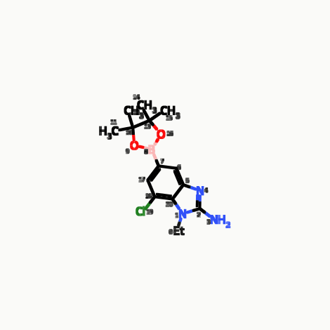 CCn1c(N)nc2cc(B3OC(C)(C)C(C)(C)O3)cc(Cl)c21